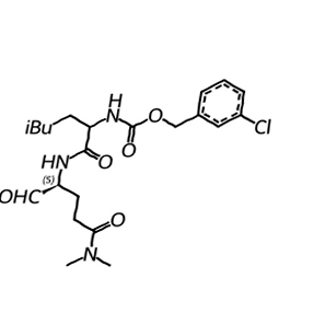 CCC(C)CC(NC(=O)OCc1cccc(Cl)c1)C(=O)N[C@H](C=O)CCC(=O)N(C)C